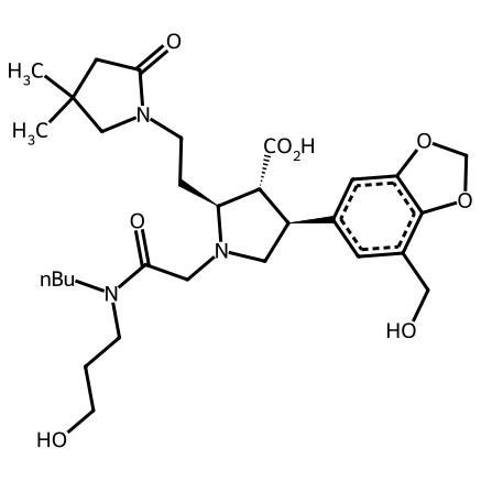 CCCCN(CCCO)C(=O)CN1C[C@H](c2cc(CO)c3c(c2)OCO3)[C@@H](C(=O)O)[C@@H]1CCN1CC(C)(C)CC1=O